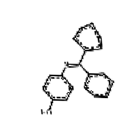 Oc1ccc(N=C(c2ccccc2)c2ccccc2)cc1